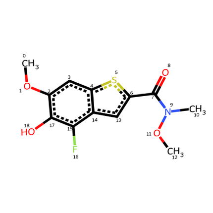 COc1cc2sc(C(=O)N(C)OC)cc2c(F)c1O